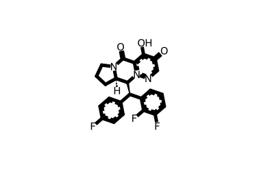 O=C1c2c(O)c(=O)cnn2C([C@H](c2ccc(F)cc2)c2cccc(F)c2F)[C@H]2CCCN12